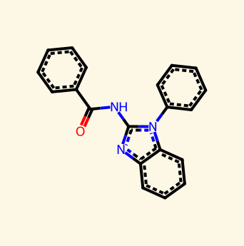 O=C(Nc1nc2ccccc2n1-c1ccccc1)c1ccccc1